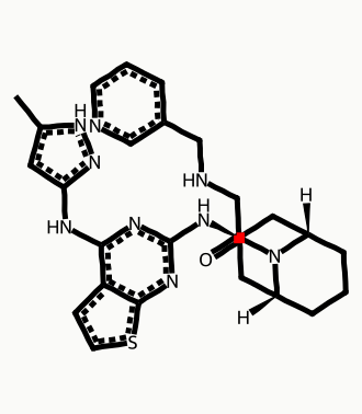 Cc1cc(Nc2nc(N[C@@H]3C[C@H]4CCC[C@@H](C3)N4C(=O)CNCc3cccnc3)nc3sccc23)n[nH]1